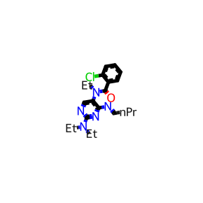 [CH2]CCC=Nc1nc(N(CC)CC)ncc1N(CC)C(=O)c1ccccc1Cl